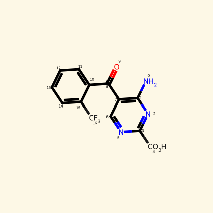 Nc1nc(C(=O)O)ncc1C(=O)c1ccccc1C(F)(F)F